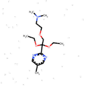 CCOC(COCCN(C)C)(OCC)c1ncc(C)cn1